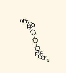 CCCC12COC(C3CCC(c4ccc(-c5ccc(C(F)(F)OC(F)(F)F)cc5)cc4)CC3)(OC1)O2